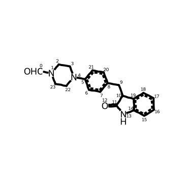 O=CN1CCN(c2ccc(CC3C(=O)Nc4ccccc43)cc2)CC1